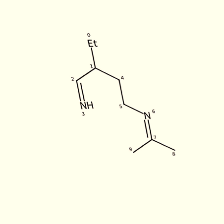 CCC(C=N)CCN=C(C)C